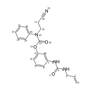 C=CCNC(=O)Nc1cccc(OC(=O)N(CCC#N)c2ccccc2)c1